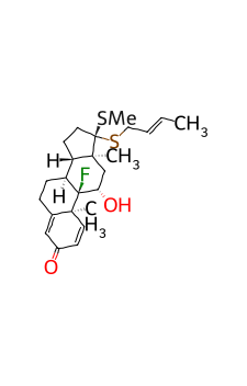 C/C=C/CS[C@@]1(SC)CC[C@H]2[C@@H]3CCC4=CC(=O)C=C[C@]4(C)[C@@]3(F)[C@@H](O)C[C@@]21C